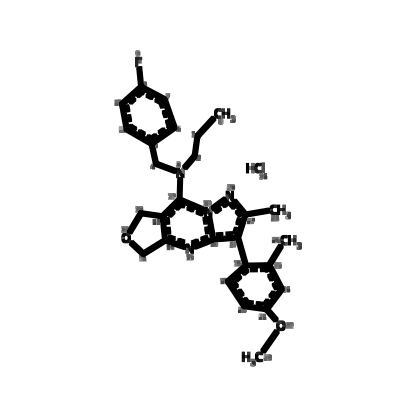 CCCN(Cc1ccc(F)cc1)c1c2c(nc3c(-c4ccc(OC)cc4C)c(C)nn13)COC2.Cl